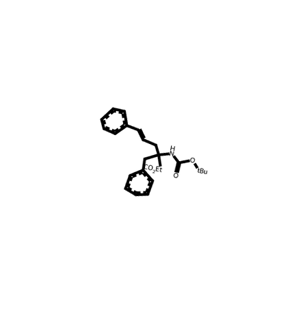 CCOC(=O)C(C/C=C/c1ccccc1)(Cc1ccccc1)NC(=O)OC(C)(C)C